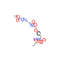 CCCCS(=O)(=O)NC(Cc1ccc(OCC2CN(CCCCN3CCN(C(=O)OC(C)(C)C)CC3)C(=O)O2)cc1)C(=O)OC